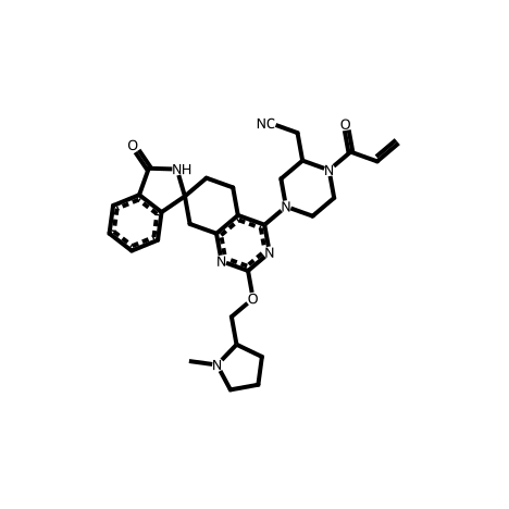 C=CC(=O)N1CCN(c2nc(OCC3CCCN3C)nc3c2CCC2(C3)NC(=O)c3ccccc32)CC1CC#N